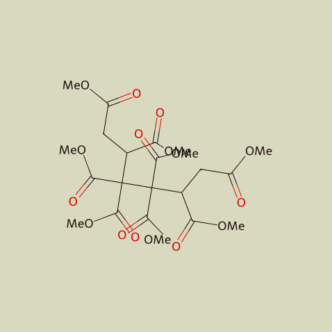 COC(=O)CC(C(=O)OC)C(C(=O)OC)(C(=O)OC)C(C(=O)OC)(C(=O)OC)C(CC(=O)OC)C(=O)OC